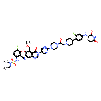 CCN(C)S(=O)(=O)Nc1ccc(F)c(Oc2ccc3ncn(-c4cnc(N5CCN(C(=O)CN6CCC(c7ccc(N[C@@H]8CCC(=O)NC8=O)cc7F)CC6)CC5)nc4)c(=O)c3c2COC)c1C#N